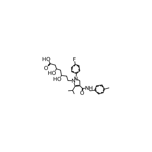 Cc1ccc(CNC(=O)C2=C(C(C)C)N(CCC(O)CC(O)CC(=O)O)N(c3ccc(F)cc3)C2)cc1